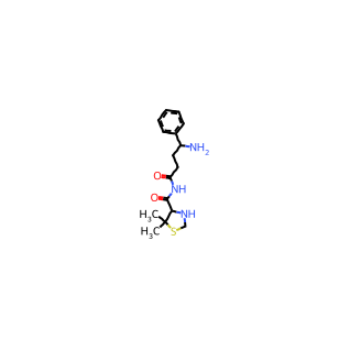 CC1(C)SCNC1C(=O)NC(=O)CCC(N)c1ccccc1